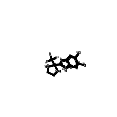 FC(F)(F)C1(c2nc3cc(Cl)c(Cl)cc3[nH]2)NCCN1